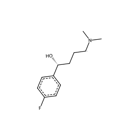 CN(C)[CH]CC[C@@H](O)c1ccc(F)cc1